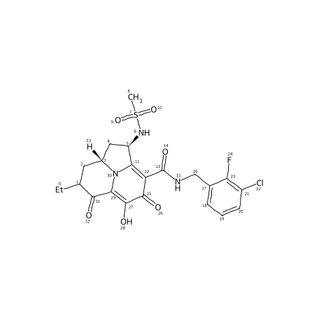 CCC1C[C@@H]2C[C@@H](NS(C)(=O)=O)c3c(C(=O)NCc4cccc(Cl)c4F)c(=O)c(O)c(n32)C1=O